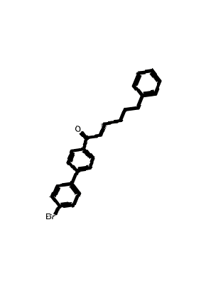 O=C(C[CH]CCCc1ccccc1)c1ccc(-c2ccc(Br)cc2)cc1